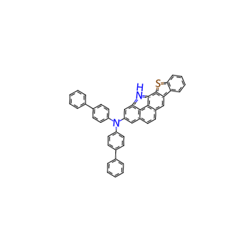 c1ccc(-c2ccc(N(c3ccc(-c4ccccc4)cc3)c3cc4ccc5cc6c7ccccc7sc6c6[nH]c(c3)c4c56)cc2)cc1